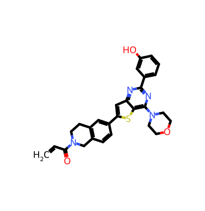 C=CC(=O)N1CCc2cc(-c3cc4nc(-c5cccc(O)c5)nc(N5CCOCC5)c4s3)ccc2C1